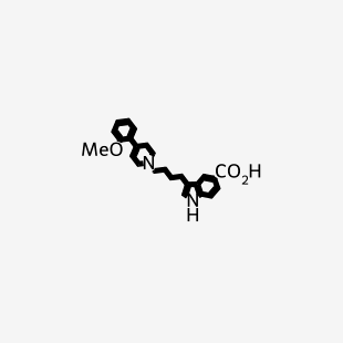 COc1ccccc1C1=CCN(CCCCc2c[nH]c3ccc(C(=O)O)cc23)CC1